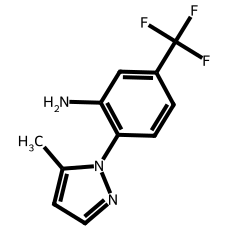 Cc1ccnn1-c1ccc(C(F)(F)F)cc1N